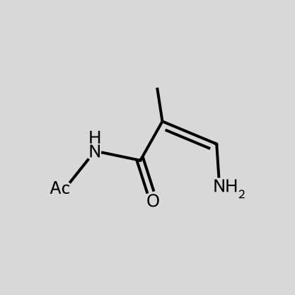 CC(=O)NC(=O)/C(C)=C\N